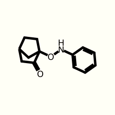 O=C1CC2CCC1(ONc1ccccc1)C2